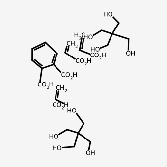 C=CC(=O)O.C=CC(=O)O.C=CC(=O)O.O=C(O)c1ccccc1C(=O)O.OCC(CO)(CO)CO.OCC(CO)(CO)CO